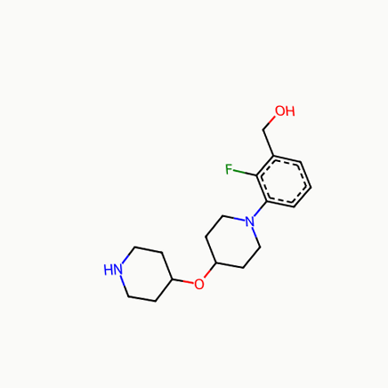 OCc1cccc(N2CCC(OC3CCNCC3)CC2)c1F